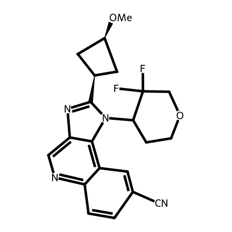 CO[C@H]1C[C@@H](c2nc3cnc4ccc(C#N)cc4c3n2C2CCOCC2(F)F)C1